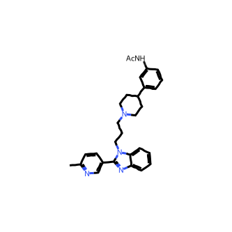 CC(=O)Nc1cccc(C2CCN(CCCn3c(-c4ccc(C)nc4)nc4ccccc43)CC2)c1